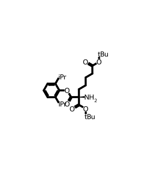 CC(C)c1cccc(C(C)C)c1OC(=O)[C@](N)(CCCCC(=O)OC(C)(C)C)C(=O)OC(C)(C)C